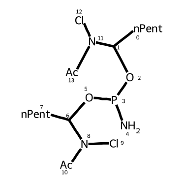 CCCCCC(OP(N)OC(CCCCC)N(Cl)C(C)=O)N(Cl)C(C)=O